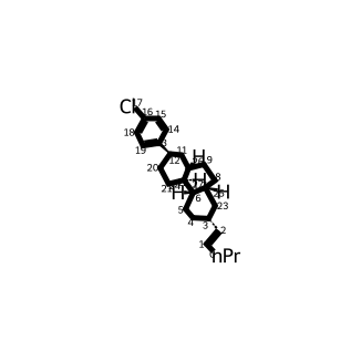 CCCC=C[C@@H]1CC[C@H]2[C@H](CC[C@H]3C[C@H](c4ccc(Cl)cc4)CC[C@@H]32)C1